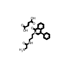 NCC(=O)NCCCn1cc(-c2ccccc2)c2ccccc2c1=O.O=C(O)C=CC(=O)O